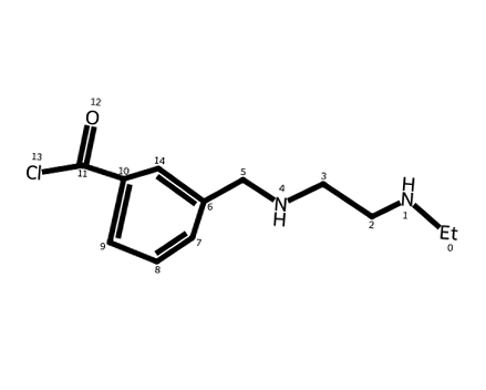 CCNCCNCc1cccc(C(=O)Cl)c1